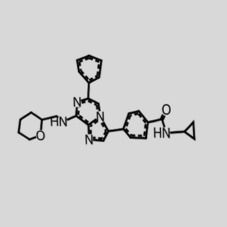 O=C(NC1CC1)c1ccc(-c2cnc3c(NCC4CCCCO4)nc(-c4ccccc4)cn23)cc1